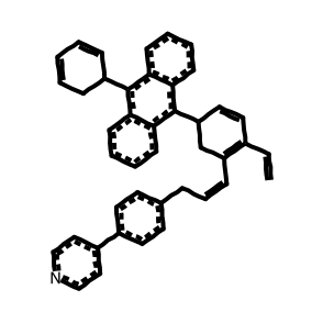 C=CC1=C(/C=C\Cc2ccc(-c3ccncc3)cc2)CC(c2c3ccccc3c(C3C=CC=CC3)c3ccccc23)C=C1